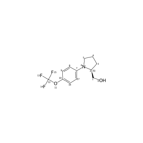 OC[C@@H]1CCCN1c1ccc(OC(F)(F)F)cc1